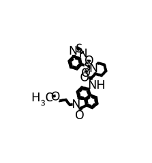 COCCCN1C(=O)c2cccc3c(NC(=O)C4CCCCN4S(=O)(=O)c4cccc5nsnc45)ccc1c23